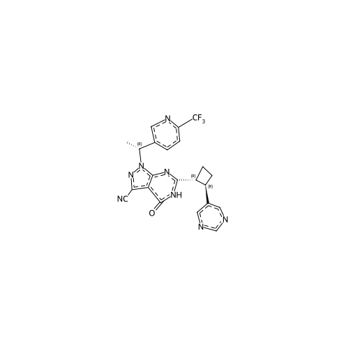 C[C@H](c1ccc(C(F)(F)F)nc1)n1nc(C#N)c2c(=O)[nH]c([C@@H]3CC[C@H]3c3cncnc3)nc21